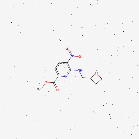 COC(=O)c1ccc([N+](=O)[O-])c(NCC2CCO2)n1